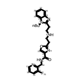 CCCCn1c(CCNCCc2nc(C(=O)NCc3ncccc3F)co2)nc2ccccc21